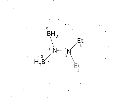 BN(B)N(CC)CC